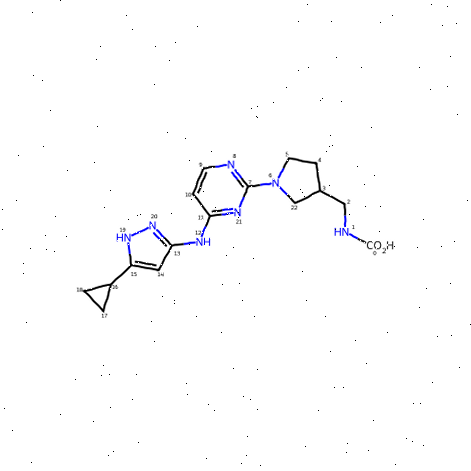 O=C(O)NCC1CCN(c2nccc(Nc3cc(C4CC4)[nH]n3)n2)C1